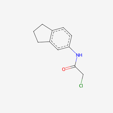 O=C(CCl)Nc1ccc2c(c1)CCC2